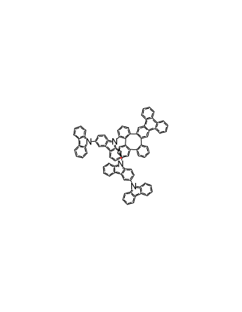 c1ccc2c(c1)-c1cc3c4ccccc4c4ccccc4c3cc1-c1cccc(-n3c4ccccc4c4cc(-n5c6ccccc6c6ccccc65)ccc43)c1-c1ccc(-n3c4ccccc4c4cc(-n5c6ccccc6c6ccccc65)ccc43)cc1-2